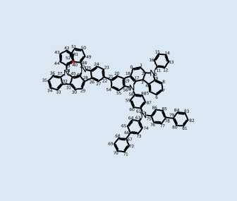 C1=CC2C(c3ccccc3N2c2ccccc2)c2c1c1cc(-c3ccc4c(c3)c3ccc5c6ccccc6n(-c6ccccc6)c5c3n4-c3ccccc3)ccc1n2-c1ccc(N(c2ccc(-c3ccccc3)cc2)c2ccc(-c3ccccc3)cc2)cc1